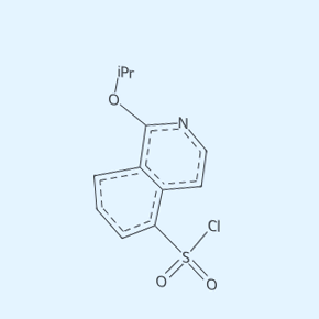 CC(C)Oc1nccc2c(S(=O)(=O)Cl)cccc12